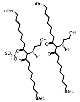 CCCCCCCCCCCCCCCCCC(=O)C(C(=O)CCCCCCCCCCCCCCCCC)N(CC)CCO.CCCCCCCCCCCCCCCCCC(=O)C(C(=O)CCCCCCCCCCCCCCCCC)N(CC)CCO.O=S(=O)(O)O